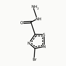 NNC(=O)c1nc(Br)ns1